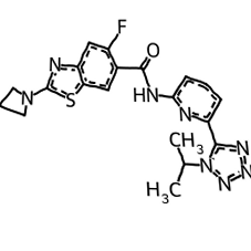 CC(C)n1nnnc1-c1cccc(NC(=O)c2cc3sc(N4CCC4)nc3cc2F)n1